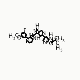 COc1cc(F)cc(-c2nccc3[nH]c(-c4n[nH]c5cnc(-c6cncc(NC(=O)C(C)C)c6)cc45)nc23)c1